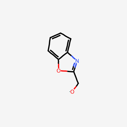 [O]Cc1nc2ccccc2o1